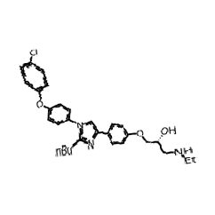 CCCCc1nc(-c2ccc(OC[C@H](O)CNCC)cc2)cn1-c1ccc(Oc2ccc(Cl)cc2)cc1